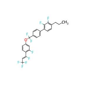 CCCc1ccc(-c2ccc(C(F)(F)Oc3ccc(/C(F)=C/C(F)(F)F)c(F)c3)cc2)c(F)c1F